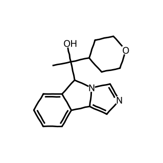 CC(O)(C1CCOCC1)C1c2ccccc2-c2cncn21